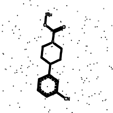 CC(C)(C)OC(=O)N1CCC(c2cccc(C#N)c2)CC1